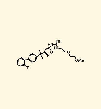 COCCOCCNC(=N)Nc1cc(C(C)(C)c2ccc(-c3ccccc3F)cc2)no1